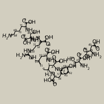 CC(C)CC(N)C(=O)O.CC(C)CC(N)C(=O)O.CC(O)C(N)C(=O)O.N=C(N)NCCCC(N)C(=O)O.NC(CC(=O)O)C(=O)O.NC(CO)C(=O)O.NC(Cc1ccc(O)cc1)C(=O)O.NCCCCC(N)C(=O)O